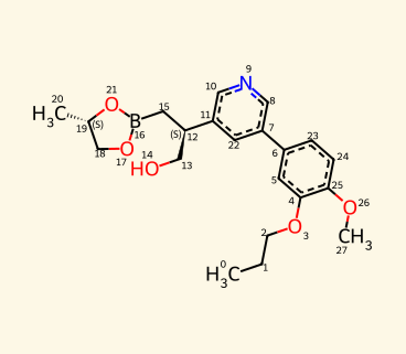 CCCOc1cc(-c2cncc([C@@H](CO)CB3OC[C@H](C)O3)c2)ccc1OC